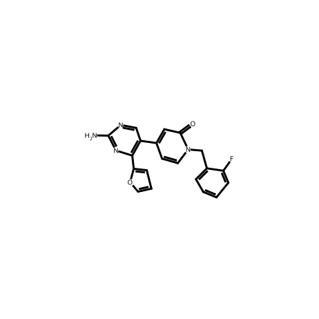 Nc1ncc(-c2ccn(Cc3ccccc3F)c(=O)c2)c(-c2ccco2)n1